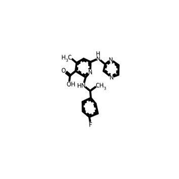 Cc1cc(Nc2cnccn2)nc(NC(C)c2ccc(F)cc2)c1C(=O)O